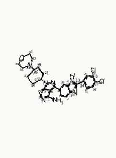 Nc1ncnc2c1c(-c1ccc3nc(-c4ccc(Cl)c(Cl)c4)[nH]c3c1)nn2[C@H]1CC[C@H](N2CCOCC2)CC1